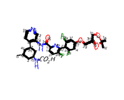 C[C@@H]1C[C@H](NC(=O)O)C[C@H](c2ccncc2NC(=O)c2ccc(F)c(-c3c(F)cc(OCC4COC(C)(C)O4)cc3F)n2)C1